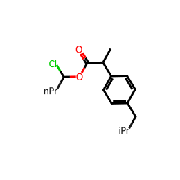 CCCC(Cl)OC(=O)C(C)c1ccc(CC(C)C)cc1